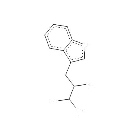 CC(O)C(N)Cc1c[nH]c2ccccc12